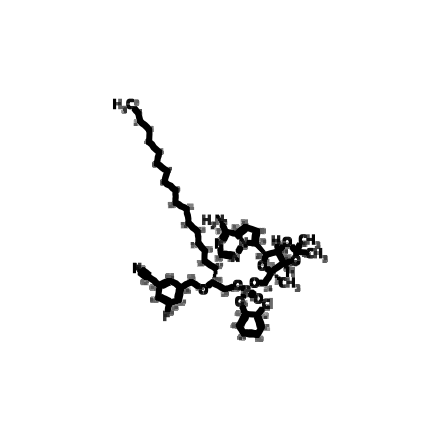 CCCCCCCCCCCCCCCCCC[C@H](COP(=O)(OC[C@@]1(C)O[C@@H](c2ccc3c(N)ncnn23)[C@@H]2OC(C)(C)O[C@@H]21)Oc1ccccc1Cl)OCc1cc(F)cc(C#N)c1